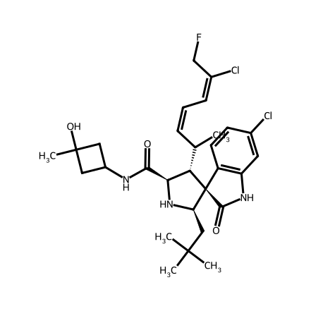 CC(/C=C\C=C(\Cl)CF)[C@H]1[C@H](C(=O)NC2CC(C)(O)C2)N[C@H](CC(C)(C)C)[C@]12C(=O)Nc1cc(Cl)ccc12